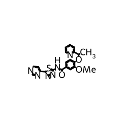 COc1cc(C(=O)Nc2nnc(-c3ccncn3)s2)ccc1OC(C)c1ccccn1